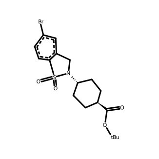 CC(C)(C)OC(=O)[C@H]1CC[C@H](N2Cc3cc(Br)ccc3S2(=O)=O)CC1